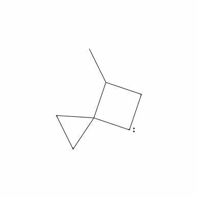 CC1C[C]C12CC2